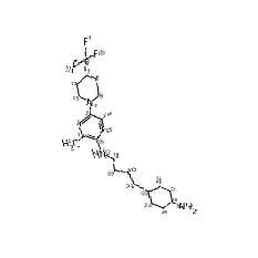 Cc1cc(N2CCC(C(F)(F)F)CC2)ccc1NCCCCC1CCC(N)CC1